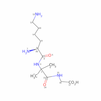 CC(C)(NC(=O)[C@@H](N)CCCCN)C(=O)NCC(=O)O